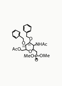 COP(=O)(C[C@H]1OC(COC(C)=O)[C@@H](OCc2ccccc2)[C@@H](OCc2ccccc2)C1NC(C)=O)OC